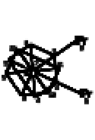 CC(C)[C]12[CH]3[CH]4[CH]5[C]1(C(C)C)[Zr]43521678[CH]2[CH]1[CH]6[CH]7[CH]28